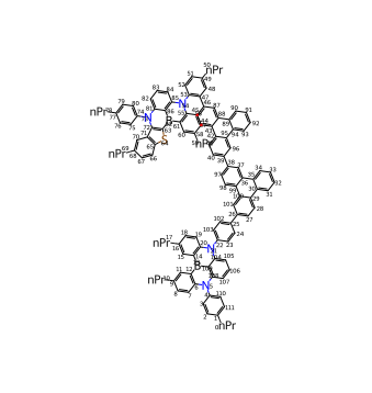 CCCc1ccc(N2c3ccc(CCC)cc3B3c4cc(CCC)ccc4N(c4ccc(-c5ccc6c7ccccc7c7cc(-c8ccc9c%10ccc(-c%11cc(CCC)ccc%11N%11c%12ccc(CCC)cc%12B%12c%13sc%14ccc(CCC)cc%14c%13N(c%13ccc(CCC)cc%13)c%13cccc%11c%13%12)cc%10c%10ccccc%10c9c8)ccc7c6c5)cc4)c4cccc2c43)cc1